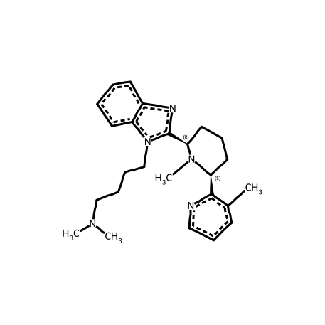 Cc1cccnc1[C@@H]1CCC[C@H](c2nc3ccccc3n2CCCCN(C)C)N1C